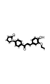 CCOc1cc(C=CC(=O)c2ccc(N3CCCC3=O)cc2)ccc1O